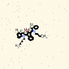 C=C=C=CN1/C(=C2/C(=O)/C(=C3/N(CCCC)c4ccccc4C3(C)C)c3ccccc32)C(C)(C)c2ccccc21